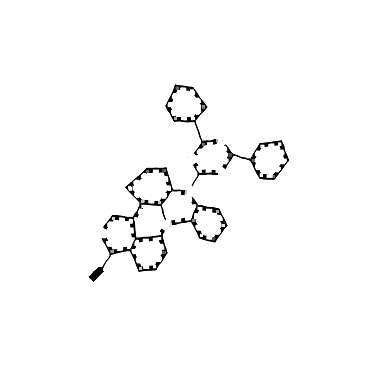 N#Cc1ncc2c3cccc4c3-n(c3cccc1c23)c1ccccc1n4-c1nc(-c2ccccc2)nc(-c2ccccc2)n1